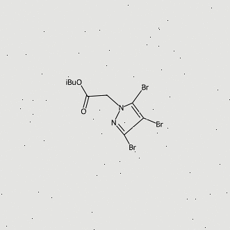 CC(C)COC(=O)Cn1nc(Br)c(Br)c1Br